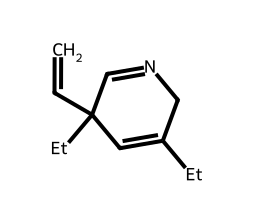 C=CC1(CC)C=NCC(CC)=C1